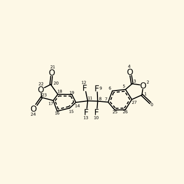 C=C1OC(=O)c2cc(C(F)(F)C(F)(F)c3ccc4c(c3)C(=O)OC4=O)ccc21